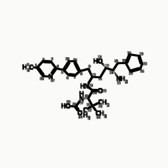 Cc1ccc(-c2ccc(C[C@@H](C[C@H](O)[C@@H](N)Cc3ccccc3)NC(=O)[C@@H](NC(=O)O)C(C)(C)C)cc2)nc1